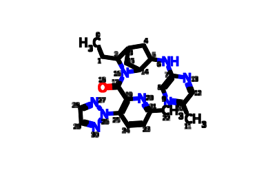 CCC1C2CC(Nc3cnc(C)cn3)C(C2)N1C(=O)c1nc(C)ccc1-n1nccn1